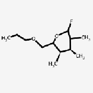 CCCOCC1OC(F)C(C)[C@@H](C)[C@H]1C